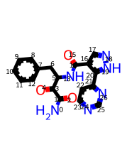 NC(=O)C(=O)C(Cc1ccccc1)NC(=O)c1cn[nH]c1-c1ccncn1